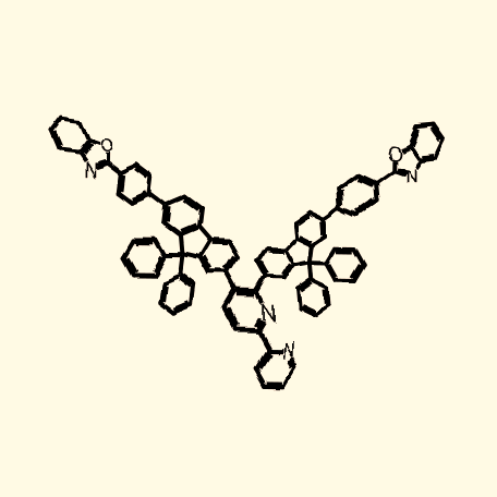 C1=Cc2nc(-c3ccc(-c4ccc5c(c4)C(c4ccccc4)(c4ccccc4)c4cc(-c6ccc(-c7ccccn7)nc6-c6ccc7c(c6)C(c6ccccc6)(c6ccccc6)c6cc(-c8ccc(-c9nc%10ccccc%10o9)cc8)ccc6-7)ccc4-5)cc3)oc2CC1